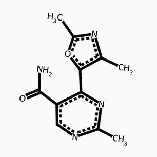 Cc1ncc(C(N)=O)c(-c2oc(C)nc2C)n1